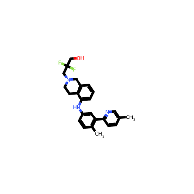 Cc1ccc(-c2cc(Nc3cccc4c3CCN(CC(F)(F)CO)C4)ccc2C)nc1